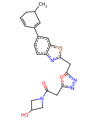 CC1C=C(c2ccc3nc(Cc4nnc(CC(=O)N5CC(O)C5)o4)sc3c2)C=CC1